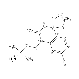 CCC1(CC)OC(=O)N(CCC(C)(C)N)c2cc(F)ccc21